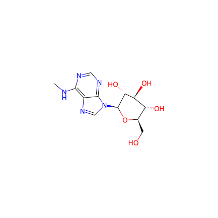 CNc1ncnc2c1ncn2[C@@H]1O[C@H](CO)[C@@H](O)[C@H](O)[C@H]1O